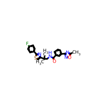 Cc1nc(-c2cccc(C(=O)NCC(C)(C)c3csc(-c4ccc(F)cc4)n3)c2)no1